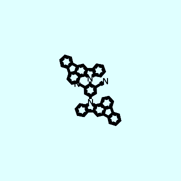 N#Cc1cc(-n2c3ccccc3c3cc4c5c(cccc5c32)-c2ccccc2-4)cc(C#N)c1-n1c2ccccc2c2cc3c4c(cccc4c21)-c1ccccc1-3